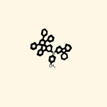 Cc1ccc(N(c2ccc3c(c2)C2(CCCCC2)c2ccccc2-3)C2C=Cc3c(c4ccccc4c4c(-c5ccccc5)cc(C5=CCCC=C5)c(-c5ccccc5)c34)C2)cc1